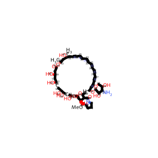 COC(=O)[C@@H]1CCCN1C(=O)C1[C@@H]2CC(O[C@@H]3OCC(O)[C@H](N)[C@@H]3O)/C=C/C=C/C=C/C=C/C=C/C=C/C=C/[C@H](C)C(O)C[C@H](C)OC(=O)CC(O)CC(O)CCC(O)C(O)CC(O)CC(O)(C[C@@H]1O)O2